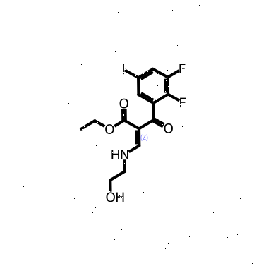 CCOC(=O)/C(=C\NCCO)C(=O)c1cc(I)cc(F)c1F